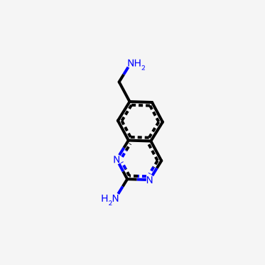 NCc1ccc2cnc(N)nc2c1